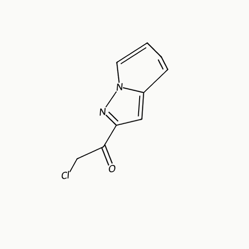 O=C(CCl)c1cc2ccccn2n1